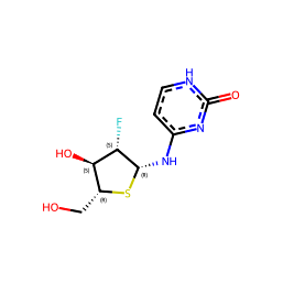 O=c1nc(N[C@@H]2S[C@H](CO)[C@@H](O)[C@@H]2F)cc[nH]1